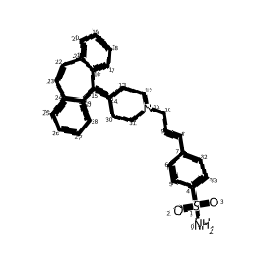 NS(=O)(=O)c1ccc(C=CCN2CCC(=C3c4ccccc4C=Cc4ccccc43)CC2)cc1